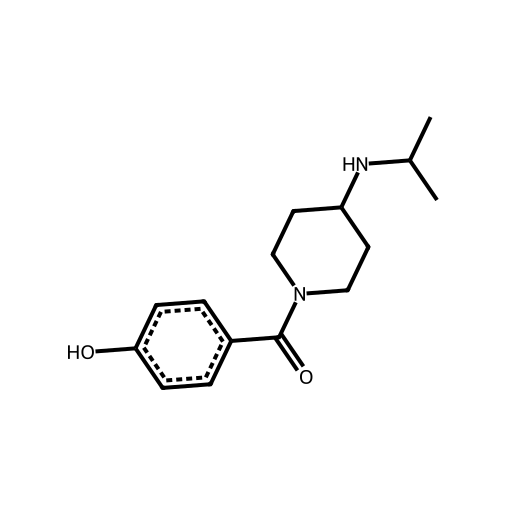 CC(C)NC1CCN(C(=O)c2ccc(O)cc2)CC1